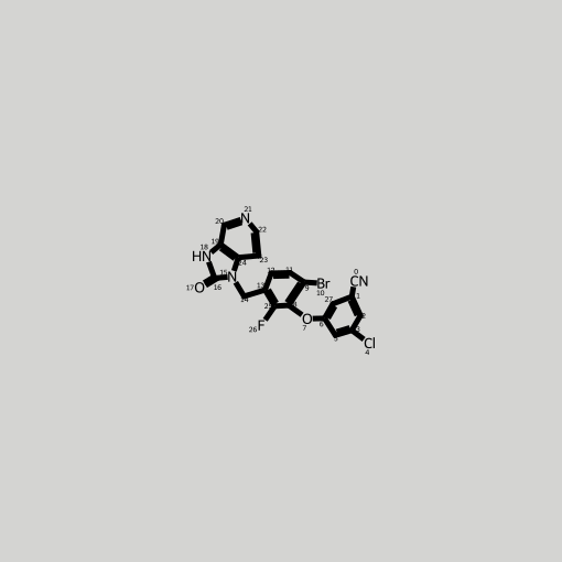 N#Cc1cc(Cl)cc(Oc2c(Br)ccc(Cn3c(=O)[nH]c4cnccc43)c2F)c1